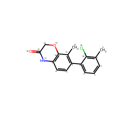 Cc1cccc(-c2ccc3c(c2C)OCC(=O)N3)c1Cl